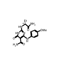 CC[C@@H](Nc1nc(Nc2ccc(OC)cc2)c(C(N)=O)c(=O)[nH]1)C(N)=O